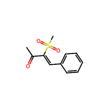 CC(=O)C(=Cc1ccccc1)S(C)(=O)=O